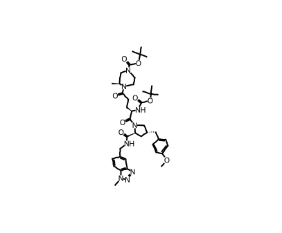 COc1ccc(C[C@@H]2C[C@@H](C(=O)NCc3ccc4c(c3)nnn4C)N(C(=O)[C@@H](CCC(=O)N3CCN(C(=O)OC(C)(C)C)C[C@@H]3C)NC(=O)OC(C)(C)C)C2)cc1